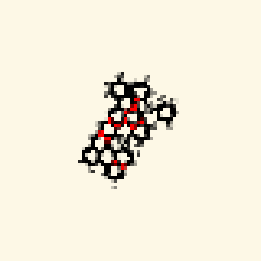 c1ccc(-c2cccc3cccc(-c4ccccc4N(c4ccccc4-c4ccc5c(c4)c4ccccc4n5-c4ccccc4)c4ccccc4-c4cccc5c4ccc4ccccc45)c23)cc1